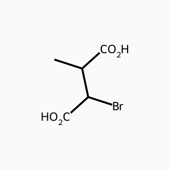 CC(C(=O)O)C(Br)C(=O)O